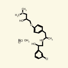 CC(Cc1ccc(OCC(O)CN(C)C)cc1)NCC(O)c1cccc(Cl)c1.Cl.Cl.O